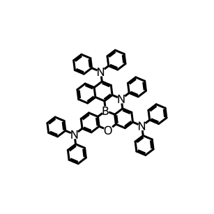 c1ccc(N(c2ccccc2)c2ccc3c(c2)Oc2cc(N(c4ccccc4)c4ccccc4)cc4c2B3c2c(cc(N(c3ccccc3)c3ccccc3)c3ccccc23)N4c2ccccc2)cc1